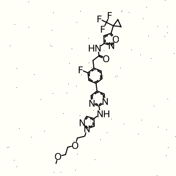 COCCOCCn1cc(Nc2ncc(-c3ccc(CC(=O)Nc4cc(C5(C(F)(F)F)CC5)on4)c(F)c3)cn2)cn1